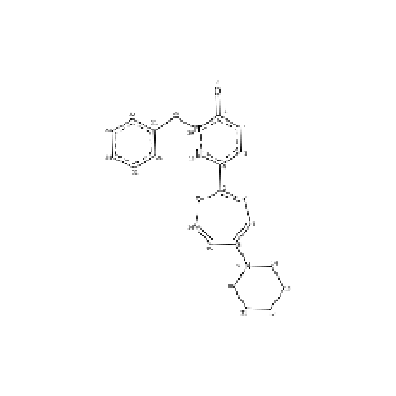 O=c1ccc(C2=CC=C(N3CCCCC3)C=CC2)nn1Cc1ccccc1